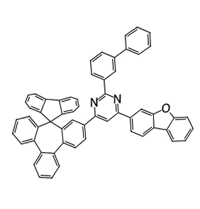 c1ccc(-c2cccc(-c3nc(-c4ccc5c(c4)C4(c6ccccc6-c6ccccc6-5)c5ccccc5-c5ccccc54)cc(-c4ccc5c(c4)oc4ccccc45)n3)c2)cc1